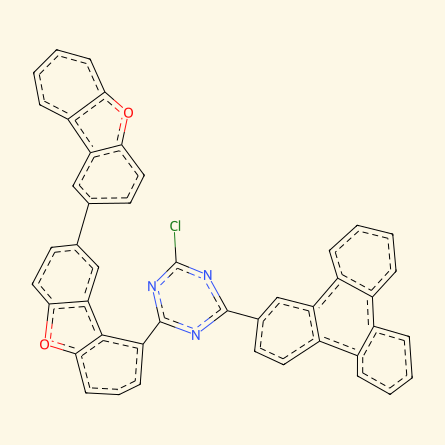 Clc1nc(-c2ccc3c4ccccc4c4ccccc4c3c2)nc(-c2cccc3oc4ccc(-c5ccc6oc7ccccc7c6c5)cc4c23)n1